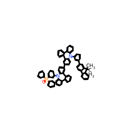 CC1(C)c2ccccc2-c2ccc(-c3cccc(N4c5ccccc5-c5ccccc5-c5cc(-c6ccc7c(c6)-c6ccccc6-c6ccccc6N7c6cccc(P(=O)(c7ccccc7)c7ccccc7)c6)ccc54)c3)cc21